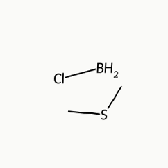 BCl.CSC